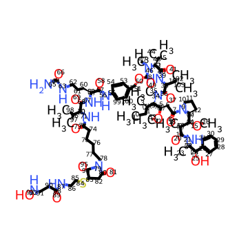 CC[C@H](C)[C@@H]([C@@H](CC(=O)N1CCC[C@H]1[C@H](OC)[C@@H](C)C(=O)N[C@H](C)[C@@H](O)c1ccccc1)OC)N(C)C(=O)C(NC(=O)[C@H](C(C)C)N(C)C(=O)OCc1ccc(NC(=O)[C@H](CCCNC(N)=O)NC(=O)[C@@H](NC(=O)CCCCCN2C(=O)CC(SCCNC(=O)CCNO)C2=O)C(C)C)cc1)C(C)C